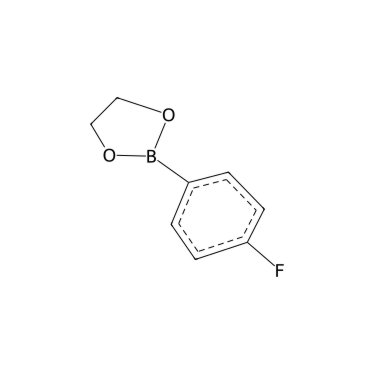 Fc1ccc(B2OCCO2)cc1